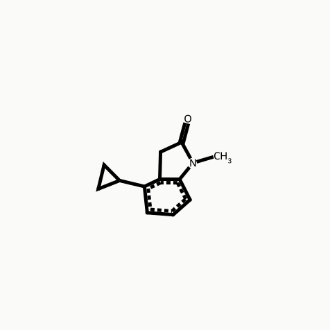 CN1C(=O)Cc2c(C3CC3)cccc21